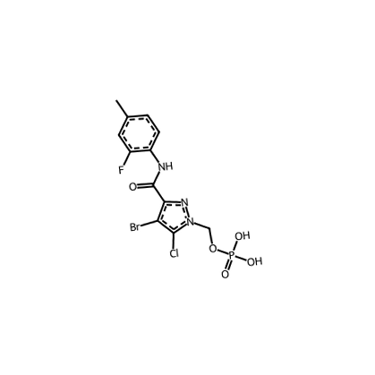 Cc1ccc(NC(=O)c2nn(COP(=O)(O)O)c(Cl)c2Br)c(F)c1